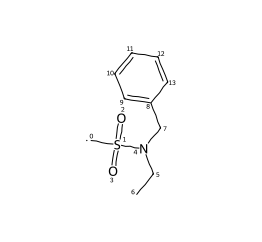 [CH2]S(=O)(=O)N(CC)Cc1ccccc1